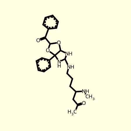 CNC(CCCNC1NC2OC(C(=O)c3ccccc3)OC2(c2ccccc2)N1)CC(C)=O